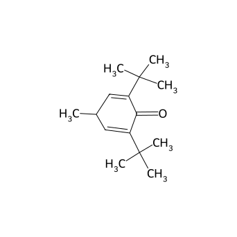 CC1C=C(C(C)(C)C)C(=O)C(C(C)(C)C)=C1